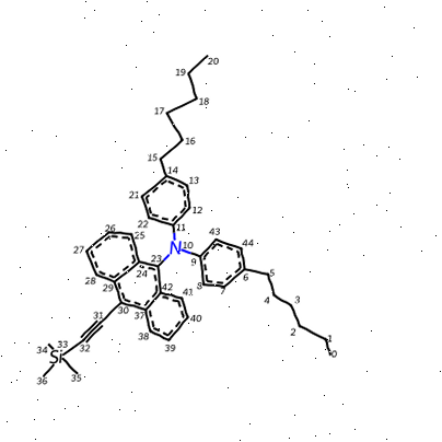 CCCCCCc1ccc(N(c2ccc(CCCCCC)cc2)c2c3ccccc3c(C#C[Si](C)(C)C)c3ccccc23)cc1